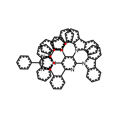 c1ccc(-c2nc(-c3ccccc3)nc(-c3ccccc3-c3nc(-n4c5ccccc5c5ccccc54)c(-n4c5ccccc5c5ccccc54)c(-n4c5ccccc5c5ccccc54)c3-n3c4ccccc4c4ccccc43)n2)cc1